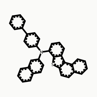 c1ccc(-c2ccc(N(c3ccc4ccccc4c3)c3cccc4c3sc3ccc5ccccc5c34)cc2)cc1